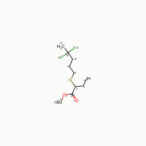 CCCCOC(=O)C(CC(C)C)SCCCC(C)(F)F